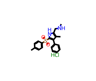 CNCc1[nH]c(S(=O)(=O)c2ccc(C)cc2)c(-c2ccccc2)c1C.Cl